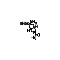 CCCCCC[C@]1(N)C[C@H]2CN(C(=O)N(C)C)C[C@H]2C1